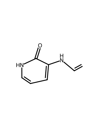 C=CNc1ccc[nH]c1=O